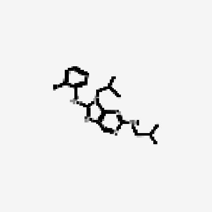 CC(C)CNc1ncc2nc(Nc3ccccc3F)n(CC(C)C)c2n1